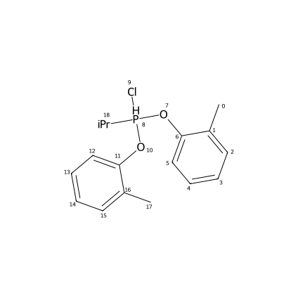 Cc1ccccc1O[PH](Cl)(Oc1ccccc1C)C(C)C